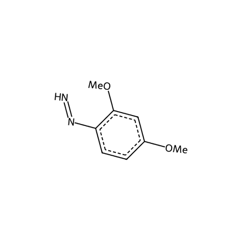 COc1ccc(N=N)c(OC)c1